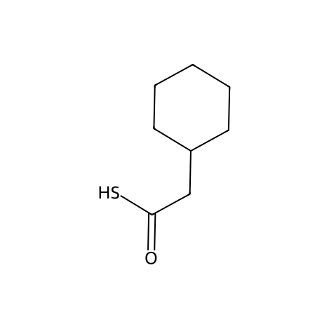 O=C(S)CC1CCCCC1